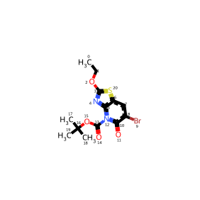 CCOc1nc2c(cc(Br)c(=O)n2C(=O)OC(C)(C)C)s1